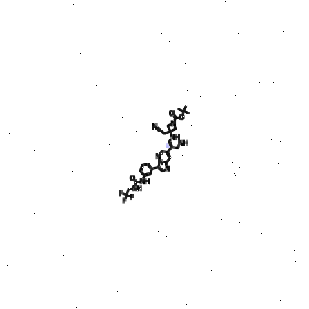 CC(C)(C)OC(=O)N1CC(CC#N)(N/C=C(\C=N)c2cnn3c(-c4cccc(NC(=O)NCC(F)(F)F)c4)cnc3c2)C1